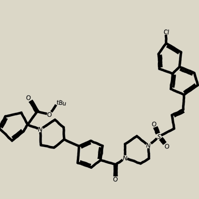 CC(C)(C)OC(=O)C1(N2CCC(c3ccc(C(=O)N4CCN(S(=O)(=O)CC=Cc5ccc6cc(Cl)ccc6c5)CC4)cc3)CC2)C=CC=CC1